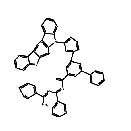 C=C(/N=C(\N=C(/N)c1ccccc1)c1ccccc1)c1cc(-c2ccccc2)cc(-c2cccc(-n3c4ccccc4c4cc5c(cc43)oc3ccccc35)c2)c1